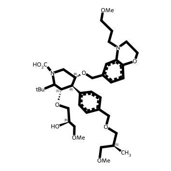 COCCCN1CCOc2ccc(CO[C@H]3CN(C(=O)O)C(C(C)(C)C)[C@@H](OC[C@H](O)COC)[C@@H]3c3ccc(COC[C@@H](C)COC)cc3)cc21